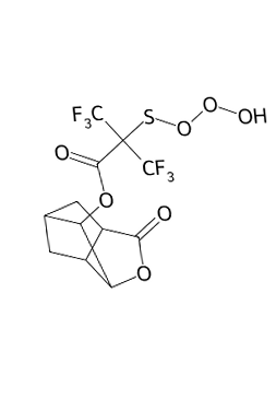 O=C1OC2C3CC(CC13)C2OC(=O)C(SOOO)(C(F)(F)F)C(F)(F)F